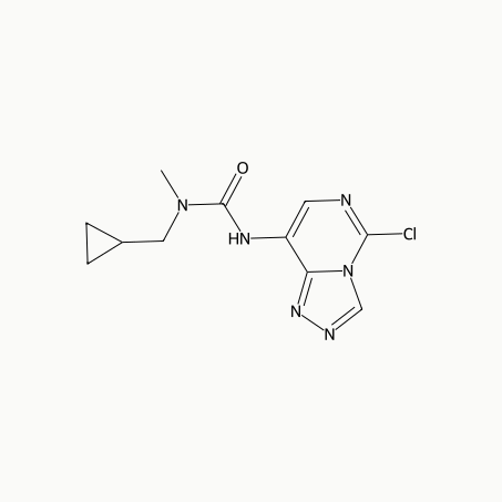 CN(CC1CC1)C(=O)Nc1cnc(Cl)n2cnnc12